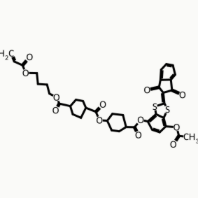 C=CC(=O)OCCCCOC(=O)C1CCC(C(=O)OC2CCC(C(=O)Oc3ccc(OC(C)=O)c4c3SC(=C3C(=O)c5ccccc5C3=O)S4)CC2)CC1